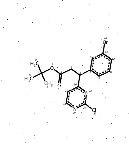 CC(C)(C)OC(=O)CC(c1cccc(Br)c1)c1ccnc(Cl)n1